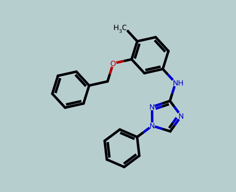 Cc1ccc(Nc2ncn(-c3ccccc3)n2)cc1OCc1ccccc1